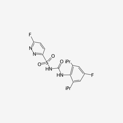 CC(C)c1cc(F)cc(C(C)C)c1NC(=O)NS(=O)(=O)c1ccc(F)nn1